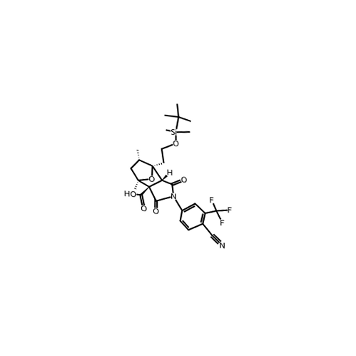 C[C@H]1C[C@@]2(C)O[C@]1(CCO[Si](C)(C)C(C)(C)C)[C@@H]1C(=O)N(c3ccc(C#N)c(C(F)(F)F)c3)C(=O)[C@@]12C(=O)O